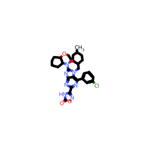 CC1CCC(Cn2c(N3CCOC4CCCCC43)nc3nc(-c4noc(=O)[nH]4)nc(-c4cccc(Cl)c4)c32)CC1